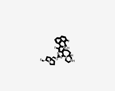 C#Cc1c(F)ccc2cccc(-c3nc4c5c(nc(OC[C@@]67CCCN6[C@H](CF)CC7)nc5c3F)N3CCNC[C@H]3CC4)c12